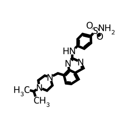 CC(C)N1CCN(Cc2cccc3cnc(Nc4ccc(S(N)(=O)=O)cc4)nc23)CC1